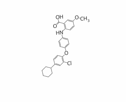 COc1ccc(Nc2ccc(Oc3ccc(C4CCCCC4)cc3Cl)cc2)c(C(=O)O)c1